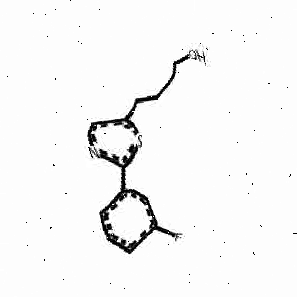 OCCCc1cnc(-c2cccc(F)c2)s1